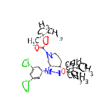 CC(C)(C)OC(=O)N1CC[C@H](O[Si](C)(C)C(C)(C)C)[C@@H](Nc2cc(Cl)cc(Cl)c2)C1